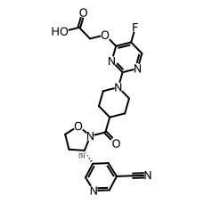 N#Cc1cncc([C@@H]2CCON2C(=O)C2CCN(c3ncc(F)c(OCC(=O)O)n3)CC2)c1